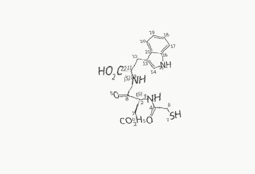 O=C(O)C[C@H](NC(=O)CS)C(=O)N[C@@H](Cc1c[nH]c2ccccc12)C(=O)O